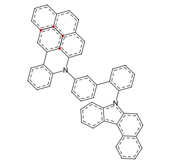 c1ccc(-c2ccccc2N(c2cccc(-c3ccccc3-n3c4ccccc4c4c5ccccc5ccc43)c2)c2ccc3ccc4ccccc4c3c2)cc1